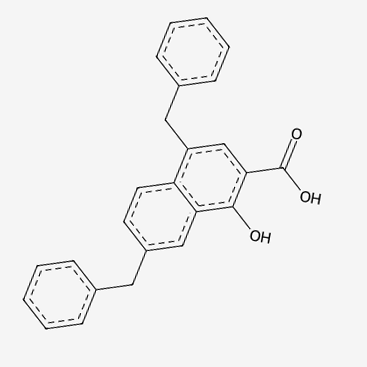 O=C(O)c1cc(Cc2ccccc2)c2ccc(Cc3ccccc3)cc2c1O